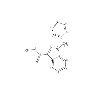 Cn1cc(C(=O)CCl)c2ccccc21.c1ccccc1